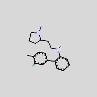 Cc1ccc(-c2ccccc2N(CCC2CCCN2C)C(=O)O)cc1F